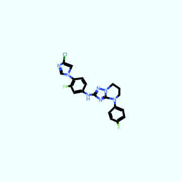 Fc1ccc(N2CCCn3nc(Nc4ccc(-n5cnc(Cl)c5)c(F)c4)nc32)cc1